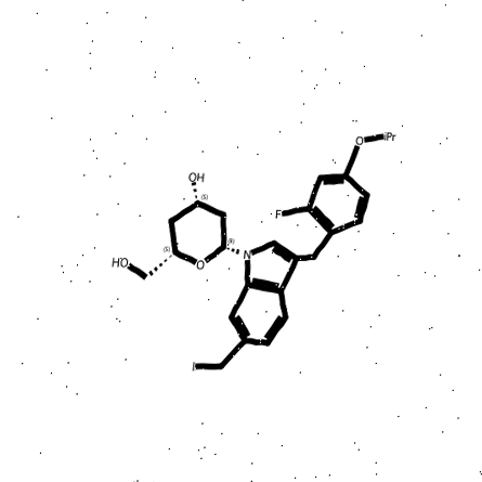 CC(C)Oc1ccc(Cc2cn([C@H]3C[C@@H](O)C[C@@H](CO)O3)c3cc(CI)ccc23)c(F)c1